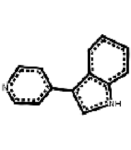 [c]1[nH]c2ccccc2c1-c1ccncc1